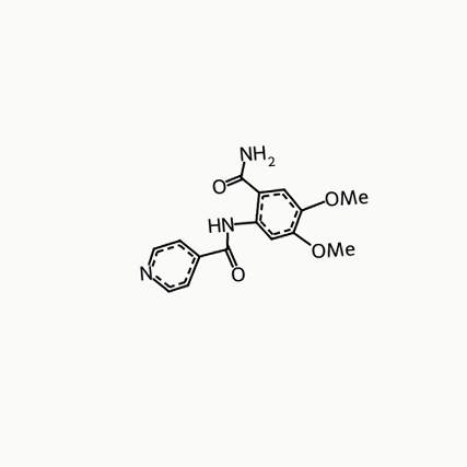 COc1cc(NC(=O)c2ccncc2)c(C(N)=O)cc1OC